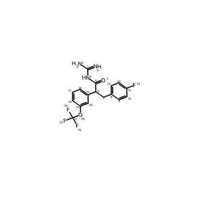 N=C(N)NC(=O)C(Cc1ccc(F)cc1)c1cccc(OC(F)(F)F)c1